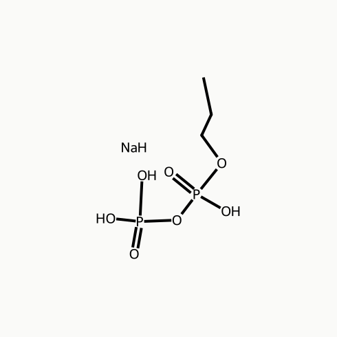 CCCOP(=O)(O)OP(=O)(O)O.[NaH]